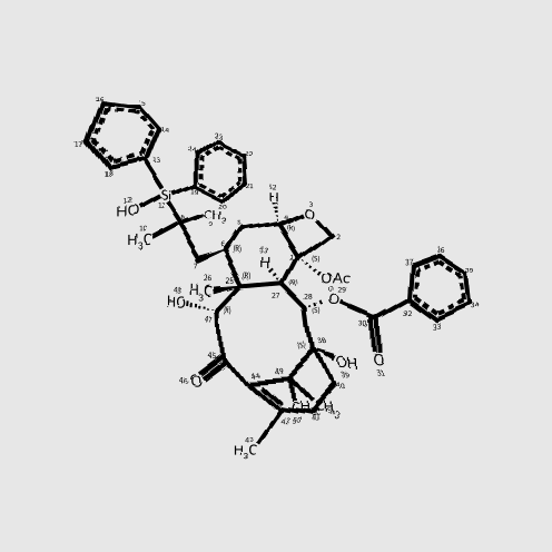 CC(=O)O[C@@]12CO[C@@H]1C[C@H](CC(C)(C)[Si](O)(c1ccccc1)c1ccccc1)[C@]1(C)[C@@H]2[C@H](OC(=O)c2ccccc2)[C@]2(O)CCC(C)=C(C(=O)[C@@H]1O)C2(C)C